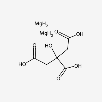 O=C(O)CC(O)(CC(=O)O)C(=O)O.[MgH2].[MgH2]